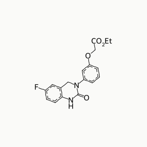 CCOC(=O)COc1cccc(N2Cc3cc(F)ccc3NC2=O)c1